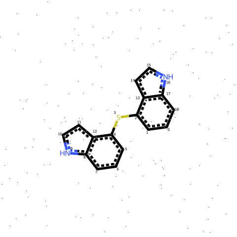 c1cc(Sc2cccc3[nH]ccc23)c2cc[nH]c2c1